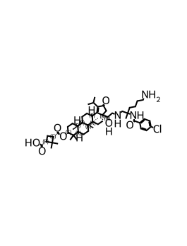 CC(C)C1=C2[C@H]3CC[C@@H]4[C@@]5(C)CC[C@H](OC(=O)[C@H]6C[C@@H](C(=O)O)C6(C)C)C(C)(C)[C@@H]5CC[C@@]4(C)[C@]3(C)CC[C@@]2([C@@H](O)CNCC(C)(CCCCN)NC(=O)c2ccc(Cl)cc2)CC1=O